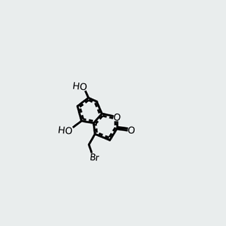 O=c1cc(CBr)c2c(O)cc(O)cc2o1